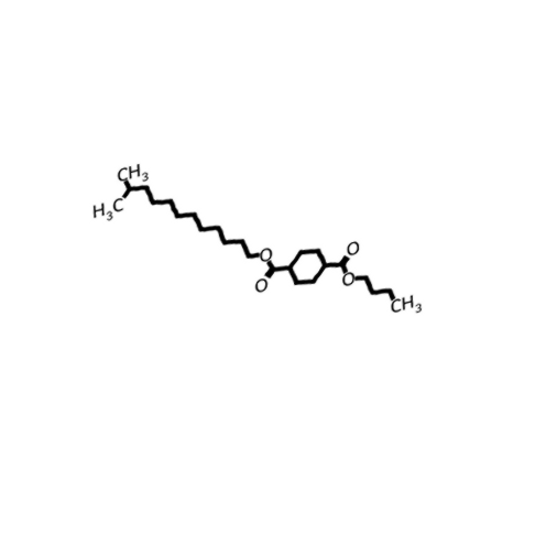 CCCCOC(=O)C1CCC(C(=O)OCCCCCCCCCCC(C)C)CC1